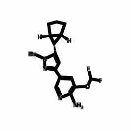 CCC(C)n1nc(-c2cnc(N)c(OC(F)F)c2)cc1[C@@H]1[C@@H]2CCC[C@@H]21